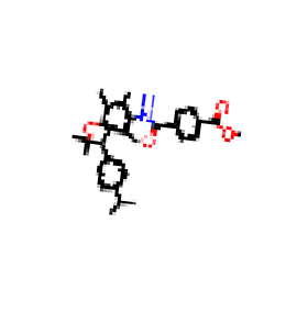 COC(=O)c1ccc(C(=O)Nc2c(C)c(C)c3c(c2C)C(c2ccc(C(C)C)cc2)C(C)(C)O3)cc1